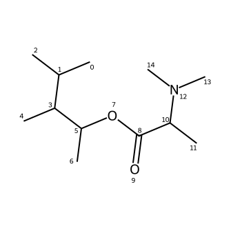 CC(C)C(C)C(C)OC(=O)C(C)N(C)C